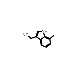 Cc1cccc2c(CC#N)c[nH]c12